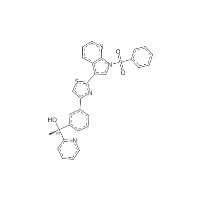 C[C@@](O)(c1cccc(-c2csc(-c3cn(S(=O)(=O)c4ccccc4)c4ncccc34)n2)c1)c1ccccn1